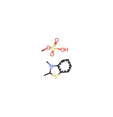 CC1Sc2ccccc2N1C.COS(=O)(=O)O